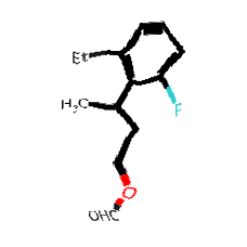 CCc1cccc(F)c1C(C)CCOC=O